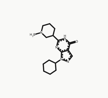 BN1CCCC(c2nc3c(cnn3C3CCCCC3)c(=O)[nH]2)C1